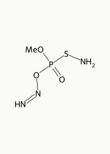 COP(=O)(ON=N)SN